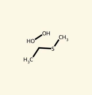 CCSC.OO